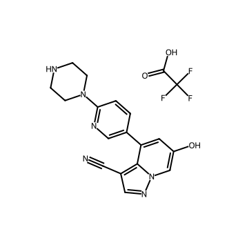 N#Cc1cnn2cc(O)cc(-c3ccc(N4CCNCC4)nc3)c12.O=C(O)C(F)(F)F